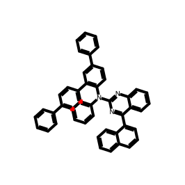 c1ccc(-c2ccc(-c3cc(-c4ccccc4)ccc3N(c3ccccc3)c3nc(-c4cccc5ccccc45)c4ccccc4n3)cc2)cc1